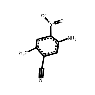 Cc1cc([N+](=O)[O-])c(N)cc1C#N